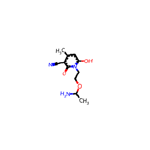 Cc1cc(O)n(CCOC(C)N)c(=O)c1C#N